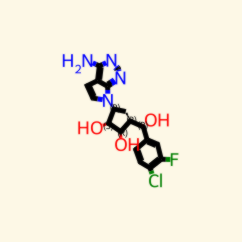 Nc1ncnc2c1ccn2[C@@H]1C[C@H]([C@@H](O)c2ccc(Cl)c(F)c2)[C@@H](O)[C@H]1O